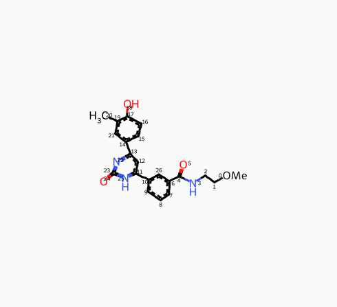 COCCNC(=O)c1cccc(-c2cc(-c3ccc(O)c(C)c3)nc(=O)[nH]2)c1